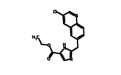 CCOC(=O)c1cnc(Cc2ccc3ncc(Cl)cc3c2)[nH]1